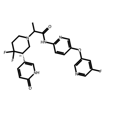 CC(C(=O)Nc1ccc(Oc2cncc(F)c2)cn1)N1CCC(F)(F)[C@@H](c2ccc(=O)[nH]c2)C1